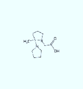 CC1(N2CCCC2)CCCN1CC(=O)O